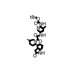 Cc1cc(NC(=O)C(=O)N2C[C@H](C)CC[C@H]2c2cccc3c2CC(=O)N3)cnc1NC(=O)OC(C)(C)C